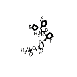 NC(=O)OC[C@@H]1CO[C@H](CCc2c(F)cccc2NC(=O)[C@@H](N)[C@@H](c2ccc(F)cc2)c2cccc(F)c2)CN1